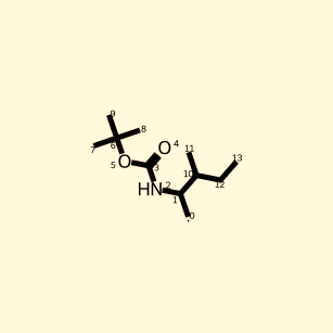 [CH2]C(NC(=O)OC(C)(C)C)C(C)CC